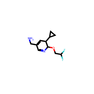 NCC1=CC(C2CC2)C(OCC(F)F)N=C1